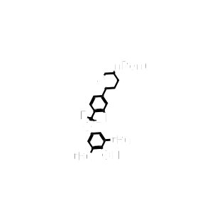 CCCCCC1CCC(c2ccc(C(F)(F)Oc3cc(C(C)(C)C)c(O)c(C(C)(C)C)c3)c(F)c2)OC1